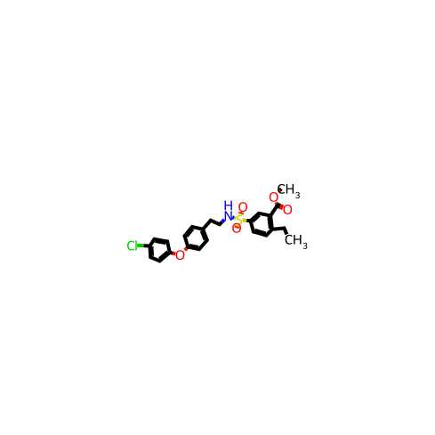 CCc1ccc(S(=O)(=O)NCCc2ccc(Oc3ccc(Cl)cc3)cc2)cc1C(=O)OC